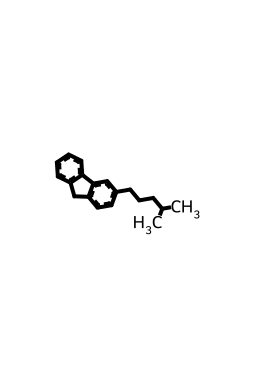 CC(C)CCCc1ccc2c(c1)-c1ccccc1C2